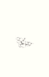 CCC(NC(=O)N1C(=O)[C@H](Cc2cc(C)nc(N)c2)[C@H]1C(=O)N(C)c1nccn1C)c1ccc(C)cc1